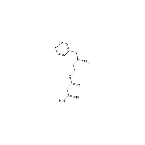 CN(CCOC(=O)CC(=N)N)Cc1ccccc1